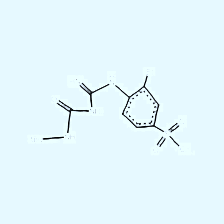 CCc1cc(S(C)(=O)=O)ccc1NC(=N)NC(=O)NC(C)(C)C